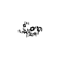 CC(=O)Nc1cc(Oc2ccc3nc(Nc4cc(C(C)(C)C)n(C[C@H]5C[C@@H](O)C5)n4)n(C)c3c2)ccn1